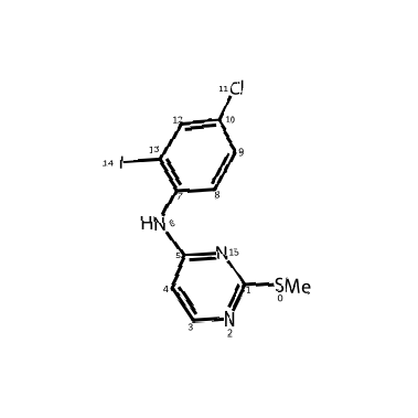 CSc1nccc(Nc2ccc(Cl)cc2I)n1